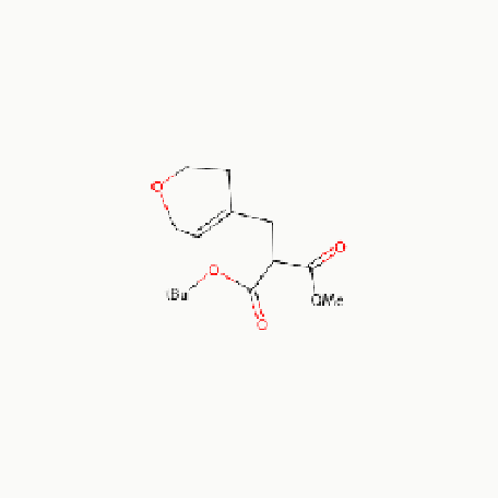 COC(=O)C(CC1=CCOCC1)C(=O)OC(C)(C)C